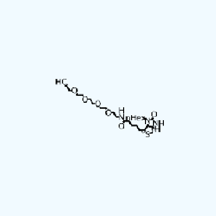 C#CCOCCOCCOCCOCCNC(=O)CCCC[C@@H]1SC[C@@H]2NC(=O)N(CCCCCC)C21